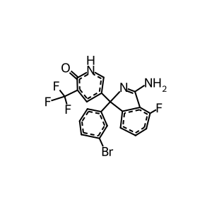 NC1=NC(c2cccc(Br)c2)(c2c[nH]c(=O)c(C(F)(F)F)c2)c2cccc(F)c21